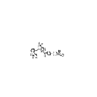 O=CBN1CCC(c2ccc(Nc3ncc(C(F)(F)F)c(CCc4ccccc4C4(C(=O)O)CC4)n3)cc2)CC1